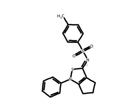 Cc1ccc(S(=O)(=O)/N=c2\sn(-c3ccccc3)c3c2CCC3)cc1